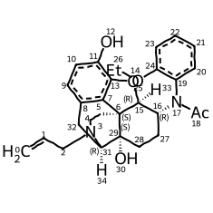 C=CCN1CC[C@]23c4c5ccc(O)c4O[C@H]2[C@H](N(C(C)=O)c2ccccc2OCC)CC[C@@]3(O)[C@H]1C5